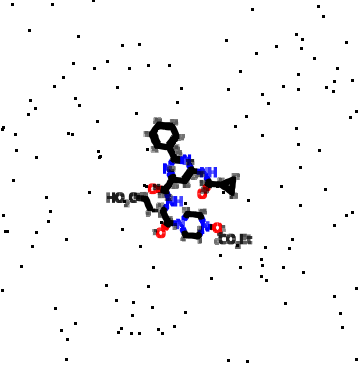 CCOC(=O)ON1CCN(C(=O)[C@H](CCC(=O)O)NC(=O)c2cc(NC(=O)C3CC3)nc(-c3ccccc3)n2)CC1